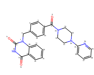 O=C(c1ccc(Cn2c(=O)[nH]c(=O)c3ccccc32)cc1)N1CCN(c2ccccn2)CC1